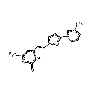 O=c1nc(C(F)(F)F)cc(/C=C/c2ccc(-c3cccc(C(F)(F)F)c3)o2)[nH]1